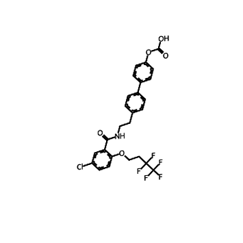 O=C(O)Oc1ccc(-c2ccc(CCNC(=O)c3cc(Cl)ccc3OCCC(F)(F)C(F)(F)F)cc2)cc1